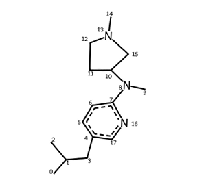 CC(C)Cc1ccc(N(C)C2CCN(C)C2)nc1